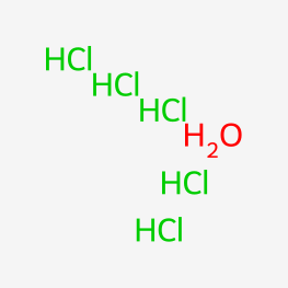 Cl.Cl.Cl.Cl.Cl.O